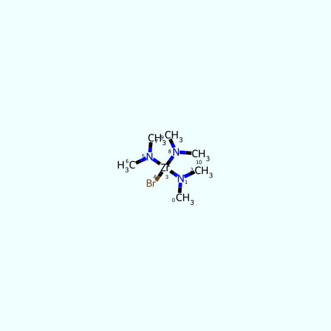 C[N](C)[Zr]([Br])([N](C)C)[N](C)C